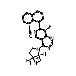 C#Cc1cccc2cccc(-c3ncc4c(N5CC[C@H]6NC[C@H]65)ncnc4c3F)c12